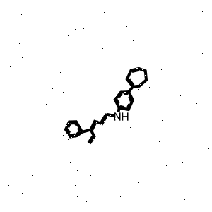 C=C/C(=C\C=C\Nc1ccc(C2=CC=CCCC2)cc1)c1ccccc1